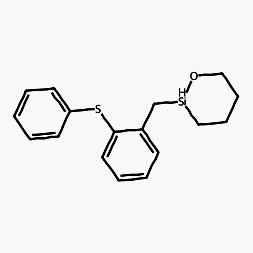 c1ccc(Sc2ccccc2C[SiH]2CCCCO2)cc1